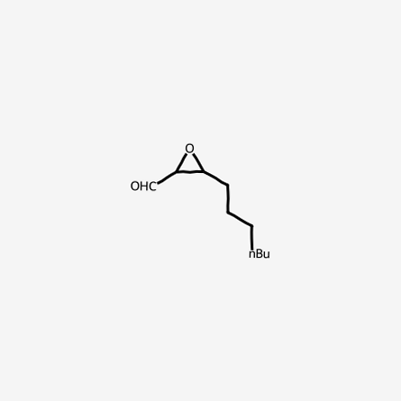 CCCCCCCC1OC1C=O